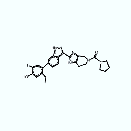 CCc1cc(O)c(F)cc1-c1ccc2c(-c3nc4c([nH]3)CCN(C(=O)N3CCCC3)C4)n[nH]c2c1